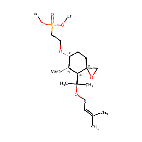 CCOP(=O)(CCO[C@@H]1CC[C@]2(CO2)[C@@H](C(C)(C)OCC=C(C)C)[C@@H]1OC)OCC